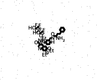 CCOc1cc2ncc(C(N)=O)c(Nc3cccc(CNC(=O)[C@H](N)CCc4ccccc4)c3CC)c2cc1OCC.O=C(O)C(F)(F)F.O=C(O)C(F)(F)F